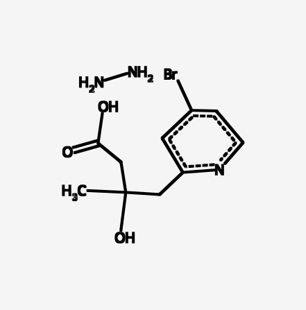 CC(O)(CC(=O)O)Cc1cc(Br)ccn1.NN